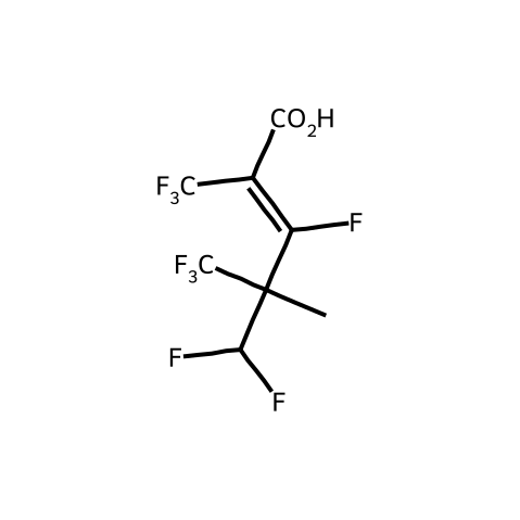 CC(C(F)=C(C(=O)O)C(F)(F)F)(C(F)F)C(F)(F)F